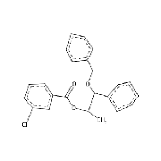 CC(OC(=O)c1cccc(Cl)c1)C(OCc1ccccc1)c1ccccc1